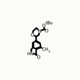 Cc1cc(C2CN(C(=O)OC(C)(C)C)CCO2)cc2c1C(=O)NC2